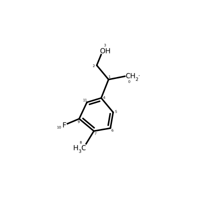 [CH2]C(CO)c1ccc(C)c(F)c1